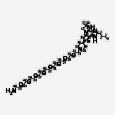 CCCCc1nc2c(NC(C)(C)C)nc3cc(C4CCN(CCOCCOCCOCCOCCOCCOCCOCCOCCN)CC4)sc3c2[nH]1